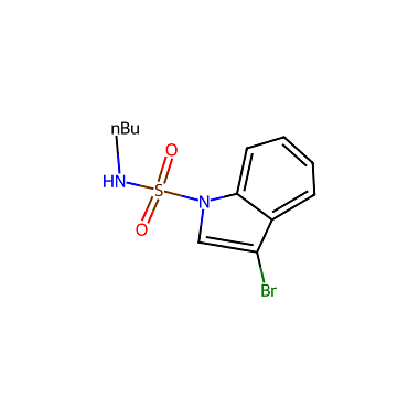 CCCCNS(=O)(=O)n1cc(Br)c2ccccc21